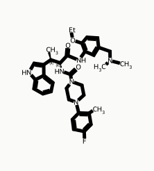 CCOc1ccc(CN(C)C)cc1NC(=O)[C@H](NC(=O)N1CCN(c2ccc(F)cc2C)CC1)[C@H](C)c1c[nH]c2ccccc12